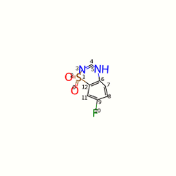 O=S1(=O)N=CNc2ccc(F)cc21